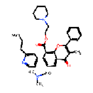 CN(C)N=O.CNCCc1ccccn1.Cc1c(-c2ccccc2)oc2c(C(=O)OCCN3CCCCC3)cccc2c1=O